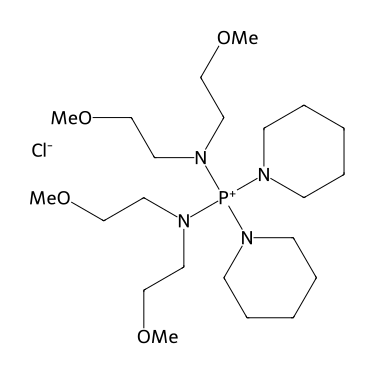 COCCN(CCOC)[P+](N1CCCCC1)(N1CCCCC1)N(CCOC)CCOC.[Cl-]